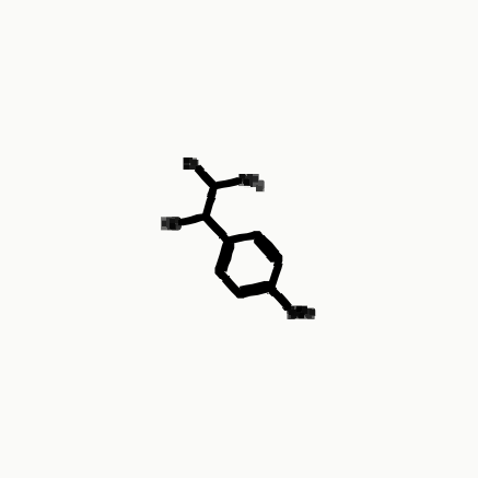 CCC(N)C(O)c1ccc(SC)cc1